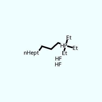 CCCCCCCCCC[PH](CC)(CC)CC.F.F